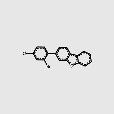 Clc1ccc(-c2ccc3c(c2)sc2ccccc23)c(Br)c1